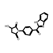 O=C(c1ccc(N2C(=O)CC(O)C2=O)cc1)c1nc2ccccc2[nH]1